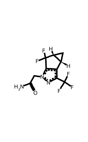 NC(=O)Cn1nc(C(F)(F)F)c2c1C(F)(F)[C@@H]1C[C@H]21